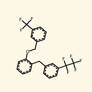 FC(F)(F)c1cccc(COc2ccccc2Cc2cccc(C(F)(F)C(F)(F)F)c2)c1